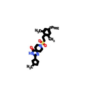 CCCCCc1cc(C)c(CCS(=O)(=O)N2CCC3(CC2)N=C(C2CCC(C)C2)NC3=O)c(C)c1